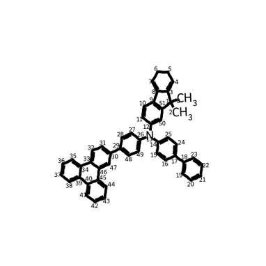 CC1(C)C2=CCCC=C2c2ccc(N(c3ccc(-c4ccccc4)cc3)c3ccc(-c4ccc5c6ccccc6c6ccccc6c5c4)cc3)cc21